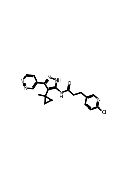 CC1(c2c(-c3ccnnc3)n[nH]c2NC(=O)CCc2ccc(Cl)nc2)CC1